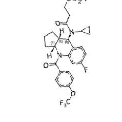 O=C(O)CCC(=O)N(C1CC1)[C@H]1c2ccc(F)cc2N(C(=O)c2ccc(OC(F)(F)F)cc2)[C@@H]2CCC[C@@H]21